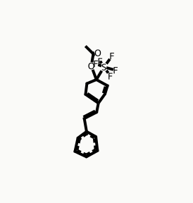 CC(=O)OC1(S(F)(F)(F)(F)F)C=CC(C=Cc2ccccc2)=CC1